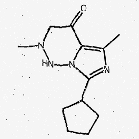 Cc1nc(C2CCCC2)n2c1C(=O)CN(C)N2